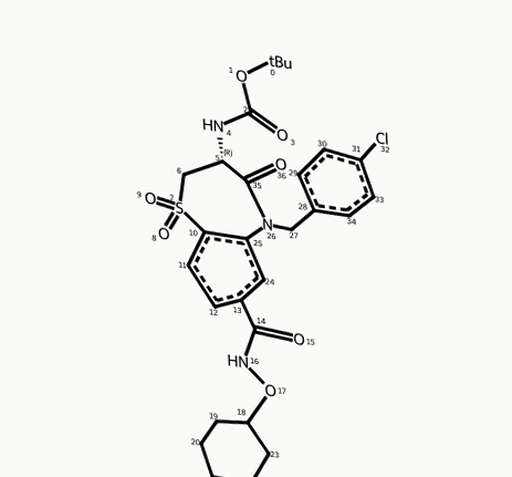 CC(C)(C)OC(=O)N[C@H]1CS(=O)(=O)c2ccc(C(=O)NOC3CCCCC3)cc2N(Cc2ccc(Cl)cc2)C1=O